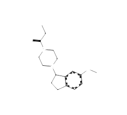 CCC(=S)N1CCN(C2CCc3ccc(OC)cc32)CC1